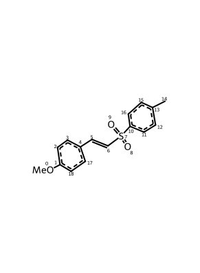 COc1ccc(C=CS(=O)(=O)c2ccc(C)cc2)cc1